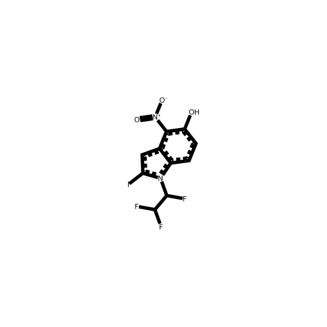 O=[N+]([O-])c1c(O)ccc2c1cc(I)n2C(F)C(F)F